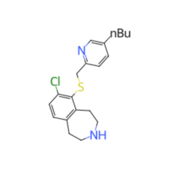 CCCCc1ccc(CSc2c(Cl)ccc3c2CCNCC3)nc1